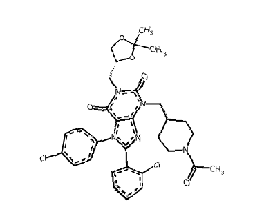 CC(=O)N1CCC(Cn2c(=O)n(C[C@@H]3COC(C)(C)O3)c(=O)c3c2nc(-c2ccccc2Cl)n3-c2ccc(Cl)cc2)CC1